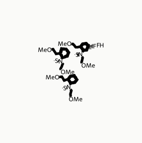 COCCc1ccccc1N([S])CCOC.COCCc1ccccc1N([S])CCOC.COCCc1ccccc1N([S])CCOC.F.F.F